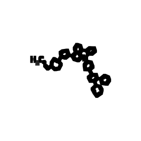 C=C/C=C\C1=CC=C(c2cccc(-c3ccc(N(c4ccc(-c5ccc(C6C=CC=CC=C6)c(-c6ccccc6)c5)cc4)c4ccccc4-c4ccccc4)cc3)c2)CC=C1